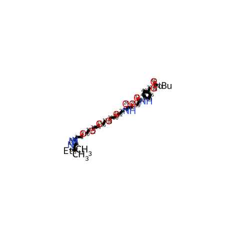 CCC(C)(C)c1cn(CCOCCOCCOCCOCCOCCNC(=O)COCC(=O)Nc2ccc(COC(=O)C(C)(C)C)cc2)nn1